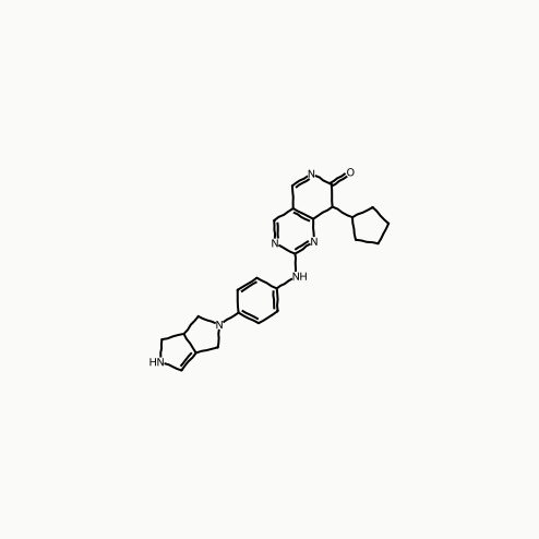 O=C1N=Cc2cnc(Nc3ccc(N4CC5=CNCC5C4)cc3)nc2C1C1CCCC1